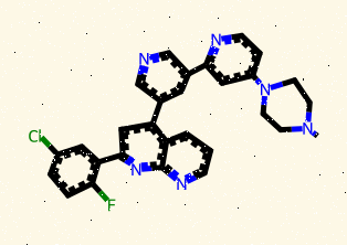 CN1CCN(c2ccnc(-c3cncc(-c4cc(-c5cc(Cl)ccc5F)nc5ncccc45)c3)c2)CC1